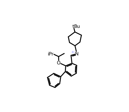 CC(C)C(C)Oc1c(/C=N/C2CCC(C(C)(C)C)CC2)cccc1-c1ccccc1